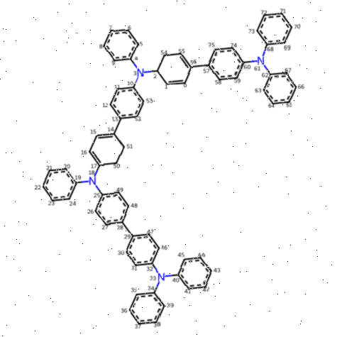 C1=CC(N(c2ccccc2)c2ccc(C3=CC=C(N(c4ccccc4)c4ccc(-c5ccc(N(c6ccccc6)c6ccccc6)cc5)cc4)CC3)cc2)CC=C1c1ccc(N(c2ccccc2)c2ccccc2)cc1